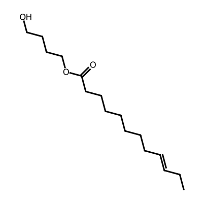 CC/C=C/CCCCCCCC(=O)OCCCCO